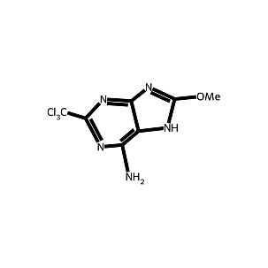 COc1nc2nc(C(Cl)(Cl)Cl)nc(N)c2[nH]1